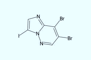 Brc1cnn2c(I)cnc2c1Br